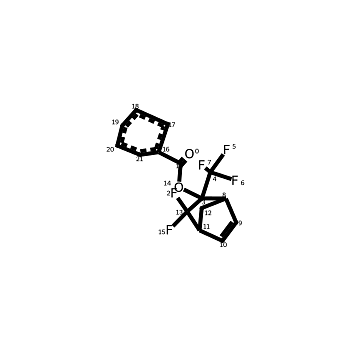 O=C(OC1(C(F)(F)F)C2C=CC(C2)C1(F)F)c1ccccc1